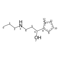 CCCNCCC(O)c1cccs1